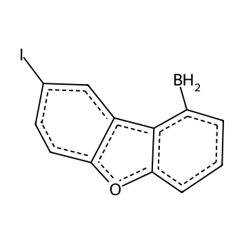 Bc1cccc2oc3ccc(I)cc3c12